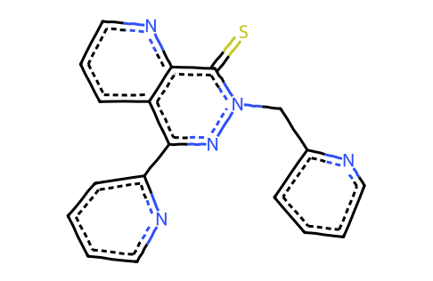 S=c1c2ncccc2c(-c2ccccn2)nn1Cc1ccccn1